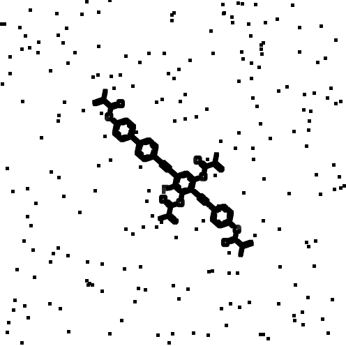 C=C(C)C(=O)Oc1ccc(C#Cc2c(OC(=O)C(=C)C)cc(C#Cc3ccc(-c4ccc(OC(=O)C(=C)C)cc4)cc3)c(F)c2OC(=O)C(=C)C)cc1